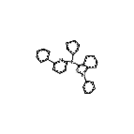 c1ccc(-c2cccc(N(c3ccccc3)c3nn(-c4ccccc4)c4ccccc34)n2)cc1